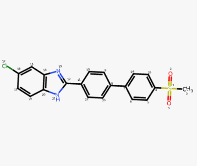 CS(=O)(=O)c1ccc(-c2ccc(-c3nc4cc(Cl)ccc4[nH]3)cc2)cc1